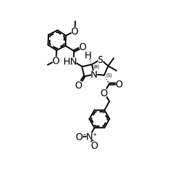 COc1cccc(OC)c1C(=O)NC1C(=O)N2[C@@H]1SC(C)(C)[C@@H]2C(=O)OCc1ccc([N+](=O)[O-])cc1